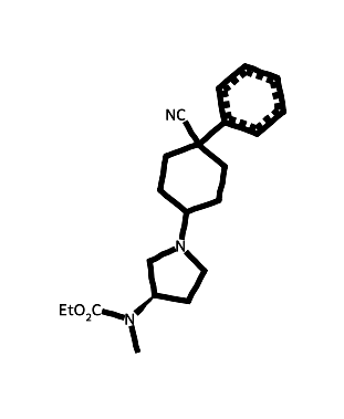 CCOC(=O)N(C)[C@@H]1CCN(C2CCC(C#N)(c3ccccc3)CC2)C1